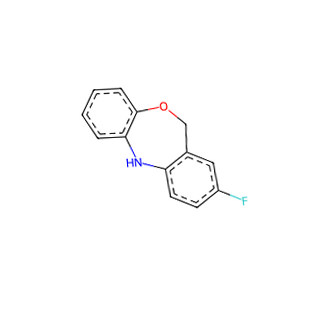 Fc1ccc2c(c1)COc1ccccc1N2